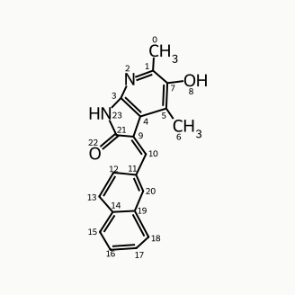 Cc1nc2c(c(C)c1O)/C(=C/c1ccc3ccccc3c1)C(=O)N2